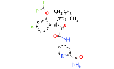 C[C@H]1[C@@H](c2ccc(F)cc2OC(F)F)[C@@H](C(=O)Nc2ccnc(C(N)=O)c2)O[C@]1(C)C(F)(F)F